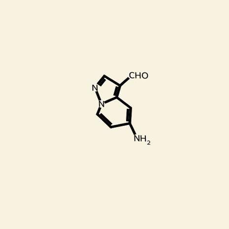 Nc1ccn2ncc(C=O)c2c1